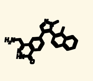 Cc1c(-c2c(-c3ccc4c(=O)[nH]nc(CN)c4c3)cnn2C)ccc2ccccc12